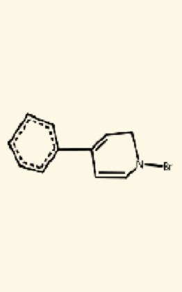 BrN1C=CC(c2ccccc2)=CC1